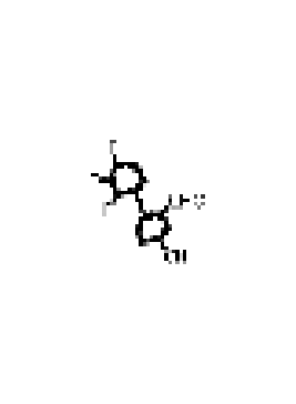 N#Cc1ccc(-c2ccc(F)c(F)c2F)c(C=O)c1